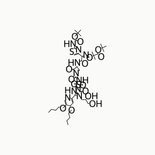 CCCCOC1=CNC(c2nn(S(=O)(=O)NC(=O)N3C[C@H](NC(=O)/C(=N\OC(C)(C)C(=O)OC(C)(C)C)c4csc(NC(=O)OC(C)(C)C)n4)C3=O)c(=O)n2C[C@H](O)CO)=CC1OCCCC